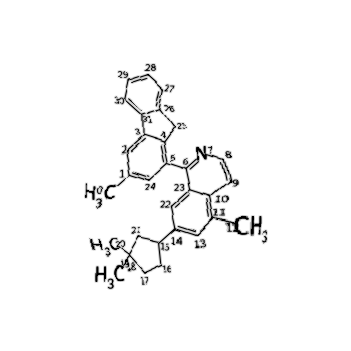 Cc1cc2c(c(-c3nccc4c(C)cc(C5CCC(C)(C)C5)cc34)c1)Cc1ccccc1-2